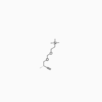 C#C[C@H](C)COCOCC[Si](C)(C)C